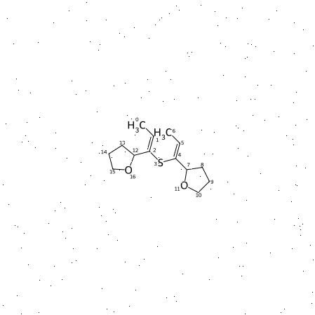 CC=C(SC(=CC)C1CCCO1)C1CCCO1